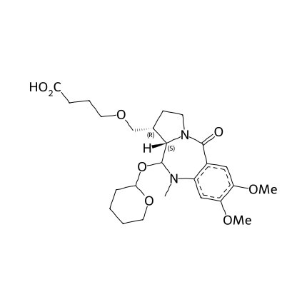 COc1cc2c(cc1OC)N(C)C(OC1CCCCO1)[C@@H]1[C@H](COCCCC(=O)O)CCN1C2=O